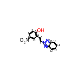 O=[N+]([O-])c1ccc(O)c(C=Cn2nc3ccccc3n2)c1